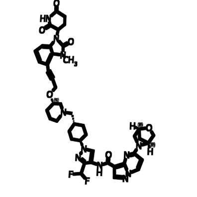 Cn1c(=O)n(C2CCC(=O)NC2=O)c2cccc(C#CCO[C@H]3CCCN(C[C@H]4CC[C@H](n5cc(NC(=O)c6cnn7ccc(N8C[C@H]9C[C@@H]8CO9)nc67)c(C(F)F)n5)CC4)C3)c21